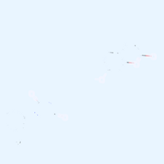 CCCc1c(OCCCCCN2C(=O)CN(c3cccc(OC)c3)C2=O)ccc2c(C(F)(F)F)cc(=O)oc12